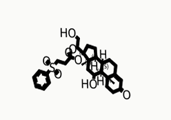 C[C@]12CCC(=O)C=C1CC[C@@H]1[C@@H]2C(O)C[C@@]2(C)[C@H]1CC[C@]2(OC(=O)CCS(=O)(=O)c1ccccc1)C(=O)CO